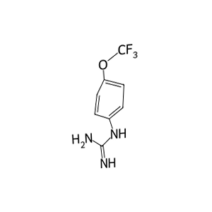 N=C(N)Nc1ccc(OC(F)(F)F)cc1